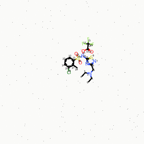 CCN(CC)Cc1nsc(N(OC(=O)C(F)(F)F)S(=O)(=O)c2cccc(Cl)c2C)n1